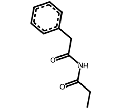 CCC(=O)NC(=O)Cc1ccccc1